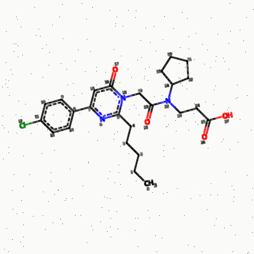 CCCCCc1nc(-c2ccc(Cl)cc2)cc(=O)n1CC(=O)N(CCC(=O)O)C1CCCC1